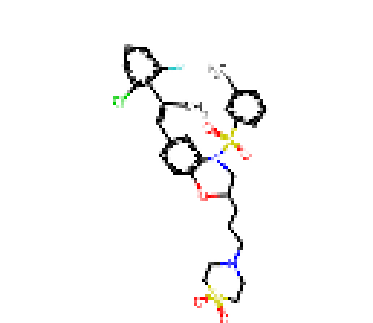 CC(=Cc1ccc2c(c1)N(S(=O)(=O)c1cccc(C(F)(F)F)c1)CC(CCCN1CCS(=O)(=O)CC1)O2)c1c(F)cccc1Cl